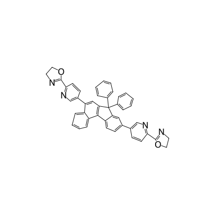 c1ccc(C2(c3ccccc3)c3cc(-c4ccc(C5=NCCO5)nc4)ccc3-c3c2cc(-c2ccc(C4=NCCO4)nc2)c2ccccc32)cc1